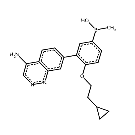 CB(O)c1ccc(OCCC2CC2)c(-c2ccc3c(N)cnnc3c2)c1